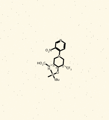 CC(C)(C)[Si](C)(C)O[C@H]1[C@H](NC(=O)O)CN(c2ccncc2[N+](=O)[O-])C[C@@H]1C(F)(F)F